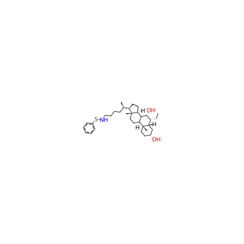 CC[C@H]1[C@@H](O)C2[C@@H]3CC[C@H]([C@H](C)CCCCNSc4ccccc4)[C@@]3(C)CC[C@@H]2[C@@]2(C)CC[C@@H](O)C[C@@H]12